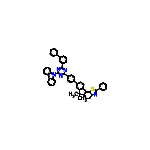 CC1(C)C2=CCC3N=C(c4ccccc4)SC3=C2c2ccc(-c3ccc(-c4nc(-c5cccc(-c6ccccc6)c5)nc(-n5c6ccccc6c6ccccc65)n4)cc3)cc21